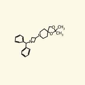 CC1(C)OCC2(CCN(C3CN(C(c4ccccc4)c4ccccc4)C3)CC2)O1